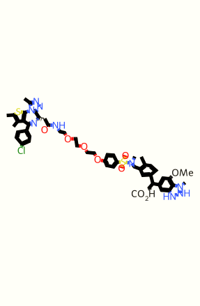 COc1cc(C(CC(=O)O)c2ccc(C)c(CN(C)S(=O)(=O)c3ccc(OCCOCCOCCNC(=O)C[C@@H]4N=C(c5ccc(Cl)cc5)c5c(sc(C)c5C)-n5c(C)nnc54)cc3)c2)cc2c1N(C)NN2